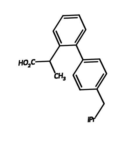 CC(C)Cc1ccc(-c2ccccc2C(C)C(=O)O)cc1